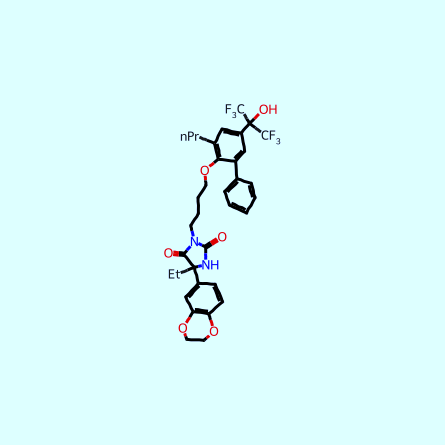 CCCc1cc(C(O)(C(F)(F)F)C(F)(F)F)cc(-c2ccccc2)c1OCCCCN1C(=O)NC(CC)(c2ccc3c(c2)OCCO3)C1=O